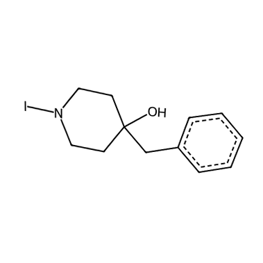 OC1(Cc2ccccc2)CCN(I)CC1